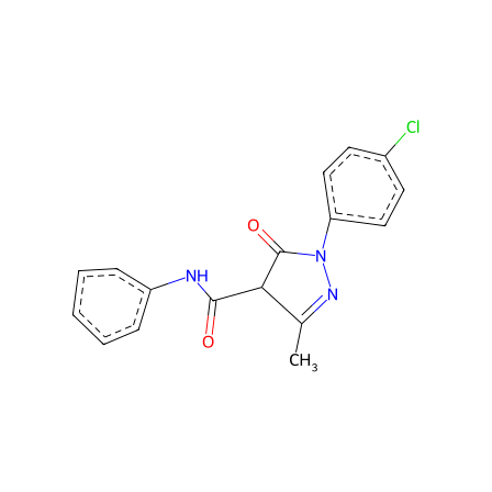 CC1=NN(c2ccc(Cl)cc2)C(=O)C1C(=O)Nc1ccccc1